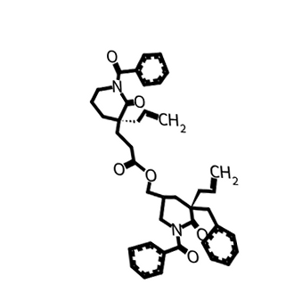 C=CC[C@]1(CCC(=O)OCC2CN(C(=O)c3ccccc3)C(=O)[C@@](CC=C)(Cc3ccccc3)C2)CCCN(C(=O)c2ccccc2)C1=O